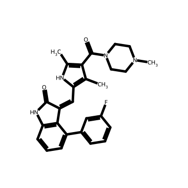 Cc1[nH]c(C=C2C(=O)Nc3cccc(-c4cccc(F)c4)c32)c(C)c1C(=O)N1CCN(C)CC1